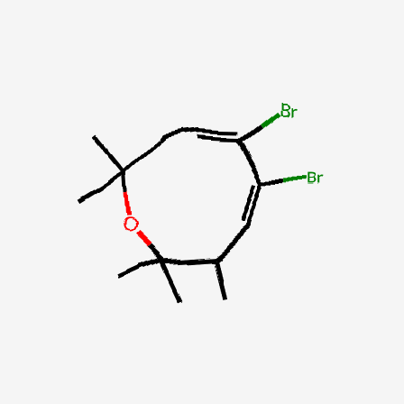 CC1/C=C(Br)\C(Br)=C/CC(C)(C)OC1(C)C